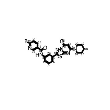 O=C(Nc1cccc(-c2nn3c(=O)cc(N4CCCCC4)nc3s2)c1)c1ccc(F)nc1